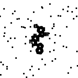 Fc1cnc(-c2c[nH]c3ncc(Cl)cc23)nc1N(F)[C@H]1CCc2ccccc21